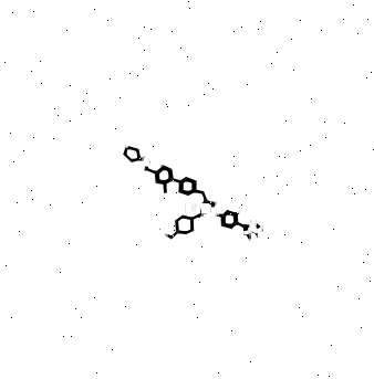 Cc1cc(C(=O)NC2CCC(O)C2)ccc1-c1ccc(CC(NC(=O)C2CCC(CN)CC2)C(=O)Nc2ccc(-c3nn[nH]n3)c(F)c2)cc1